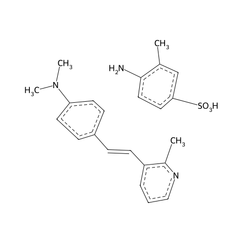 Cc1cc(S(=O)(=O)O)ccc1N.Cc1ncccc1C=Cc1ccc(N(C)C)cc1